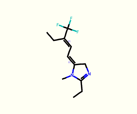 CCC1=NC/C(=C\C=C(/CC)C(F)(F)F)N1C